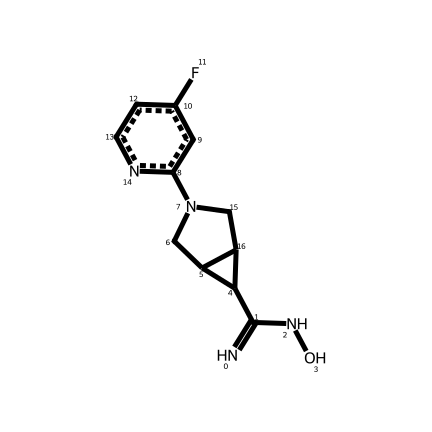 N=C(NO)C1C2CN(c3cc(F)ccn3)CC21